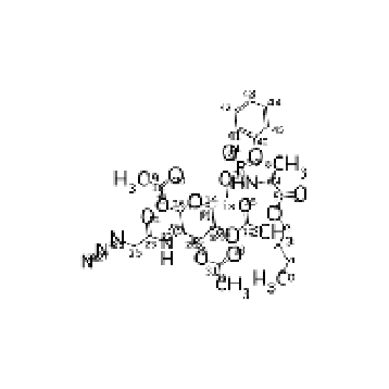 CCCCOC(=O)[C@H](C)NP(=O)(OC[C@H]1OC(OC(C)=O)[C@@H](NC(=O)CN=[N+]=[N-])[C@@H](OC(C)=O)[C@@H]1OC(C)=O)Oc1ccccc1